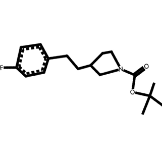 CC(C)(C)OC(=O)N1CCC(CCc2ccc(F)cc2)C1